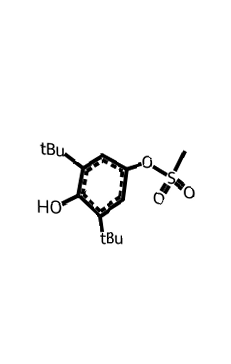 CC(C)(C)c1cc(OS(C)(=O)=O)cc(C(C)(C)C)c1O